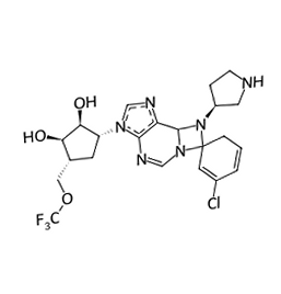 O[C@@H]1[C@@H](COC(F)(F)F)C[C@@H](n2cnc3c2N=CN2C3N([C@H]3CCNC3)C23C=C(Cl)C=CC3)[C@@H]1O